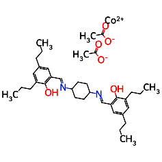 CC(=O)[O-].CC(=O)[O-].CCCc1cc(C=NC2CCC(N=Cc3cc(CCC)cc(CCC)c3O)CC2)c(O)c(CCC)c1.[Co+2]